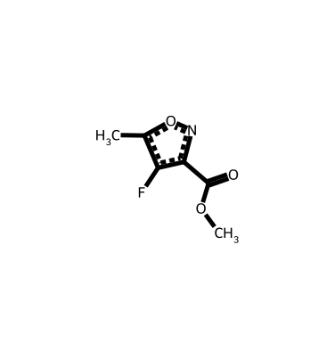 COC(=O)c1noc(C)c1F